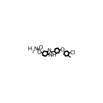 Cc1ccc(Oc2ccc(-c3nc4cc(OC(N)=O)ccc4[nH]3)cc2)cc1Cl